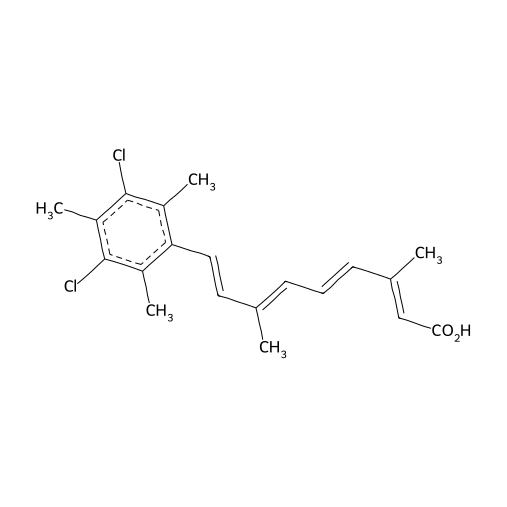 CC(C=Cc1c(C)c(Cl)c(C)c(Cl)c1C)=CC=CC(C)=CC(=O)O